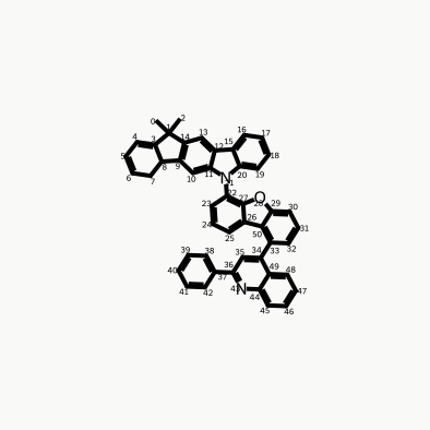 CC1(C)C2=CC=CCC2c2cc3c(cc21)c1ccccc1n3-c1cccc2c1oc1cccc(-c3cc(-c4ccccc4)nc4ccccc34)c12